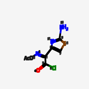 CC(=O)O/N=C(\C(=O)Cl)c1csc(N)n1